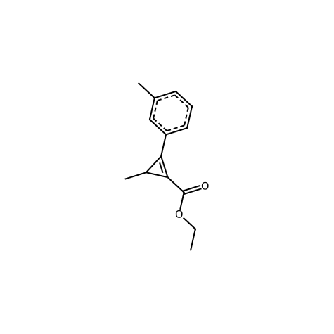 CCOC(=O)C1=C(c2cccc(C)c2)C1C